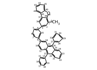 Cc1cc(-c2cccc(-c3ccc4c(-c5ccccc5)c5ccccc5c(-c5ccccc5)c4c3)c2)cc2c1oc1ccccc12